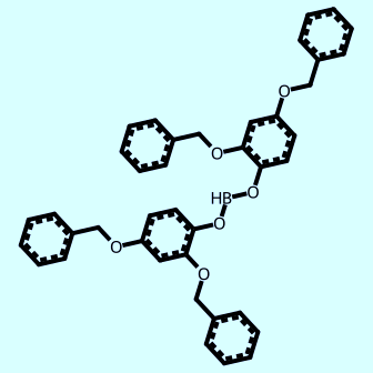 B(Oc1ccc(OCc2ccccc2)cc1OCc1ccccc1)Oc1ccc(OCc2ccccc2)cc1OCc1ccccc1